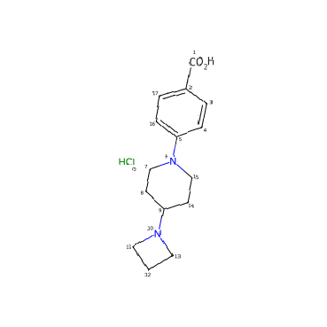 Cl.O=C(O)c1ccc(N2CCC(N3CCC3)CC2)cc1